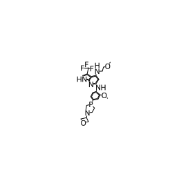 COCCNc1cc(Nc2ccc(P3CCN(C4COC4)CC3)cc2OC)nc2[nH]cc(C(F)(F)F)c12